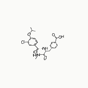 CNC(=O)C(Cc1ccc(C(=O)O)cc1)NC(=O)c1ccc(OC(C)C)c(Cl)c1